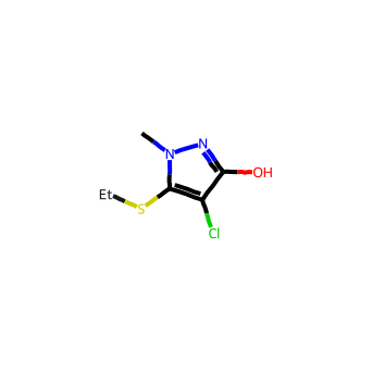 CCSc1c(Cl)c(O)nn1C